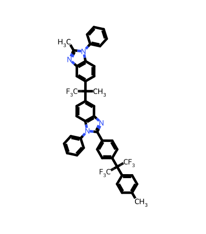 Cc1ccc(C(c2ccc(-c3nc4cc(C(C)(c5ccc6c(c5)nc(C)n6-c5ccccc5)C(F)(F)F)ccc4n3-c3ccccc3)cc2)(C(F)(F)F)C(F)(F)F)cc1